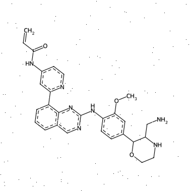 C=CC(=O)Nc1ccnc(-c2cccc3cnc(Nc4ccc(C5OCCNC5CN)cc4OC)nc23)c1